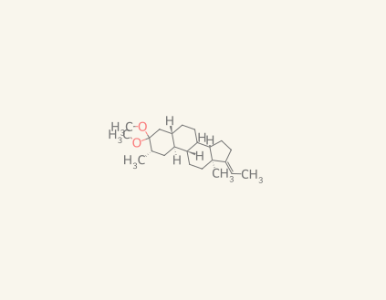 CC=C1CC[C@H]2[C@@H]3CC[C@H]4CC(OC)(OC)[C@@H](C)C[C@@H]4[C@H]3CC[C@]12C